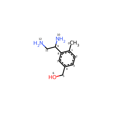 Cc1ccc(CO)cc1C(N)CN